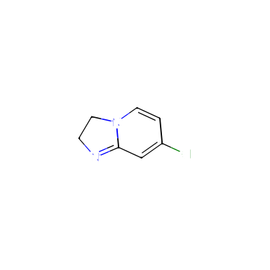 ClC1=CC2=NCCN2C=C1